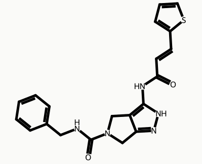 O=C(/C=C/c1cccs1)Nc1[nH]nc2c1CN(C(=O)NCc1ccccc1)C2